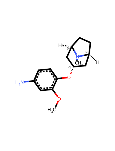 COc1cc(N)ccc1O[C@@H]1C[C@H]2CC[C@@H](C1)N2C